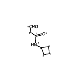 O=CCC(=O)NC1CCC1